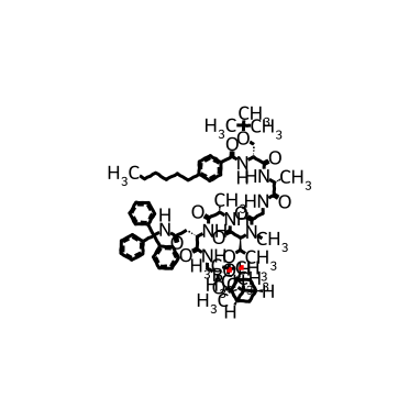 CCCCCCc1ccc(C(=O)N[C@H](COC(C)(C)C)C(=O)N[C@H](C)C(=O)NCC(=O)N(C)[C@H](C(=O)N[C@@H](C)C(=O)N[C@@H](CC(=O)NC(c2ccccc2)(c2ccccc2)c2ccccc2)C(=O)NCB2O[C@@H]3C[C@@H]4C[C@@H](C4(C)C)[C@]3(C)O2)C(C)OC(C)(C)C)cc1